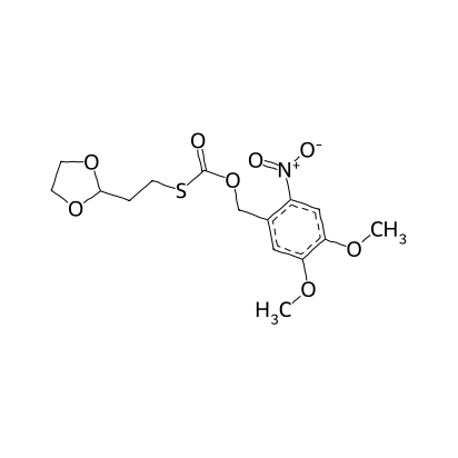 COc1cc(COC(=O)SCCC2OCCO2)c([N+](=O)[O-])cc1OC